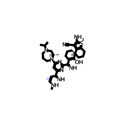 CN/C=C\C(=N)c1cc(N2CCCN(C(C)C)C[C@@H]2C)nc(C(=N)C2=C(O)[C@@]3(CCC2)CCCc2sc(N)c(C#N)c23)n1